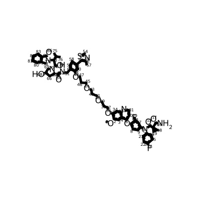 COc1cc2c(Oc3ccc(N(C(=O)C4(C(N)=O)CC4)c4ccc(F)cc4)cc3F)ccnc2cc1OCCCOCCCOCCCOc1cc(-c2scnc2C)ccc1CNC(=O)[C@@H]1C[C@@H](O)CN1C(=O)C(C(C)C)N1Cc2ccccc2C1=O